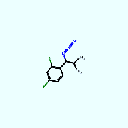 CC(C)C(N=[N+]=[N-])c1ccc(F)cc1Br